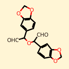 O=CC(OC(C=O)c1ccc2c(c1)OCO2)c1ccc2c(c1)OCO2